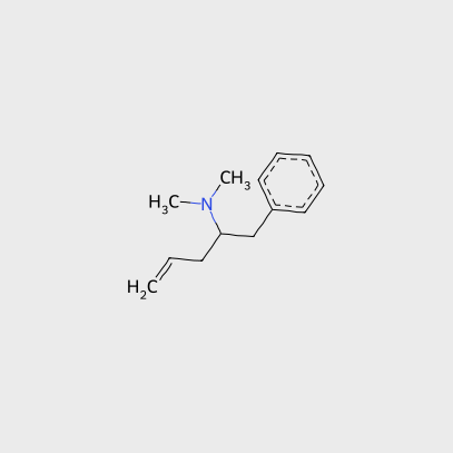 C=CCC(Cc1ccccc1)N(C)C